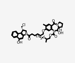 CCSSC(C)COC(=O)N1c2cc(OCCCCCC(=O)N3C[C@@H](CCl)c4c3cc(O)c3ccccc43)c(C)cc2C(=O)N2CCC[C@H]2C1O